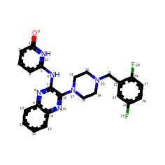 O=c1cccc(Nc2nc3ccccc3nc2N2CCN(Cc3cc(F)ccc3F)CC2)[nH]1